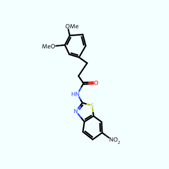 COc1ccc(CCC(=O)Nc2nc3ccc([N+](=O)[O-])cc3s2)cc1OC